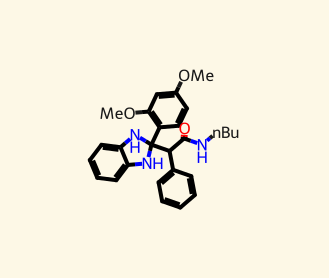 CCCCNC(=O)C(c1ccccc1)C1(c2ccc(OC)cc2OC)Nc2ccccc2N1